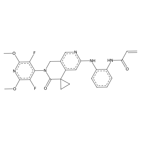 C=CC(=O)Nc1ccccc1Nc1cc2c(cn1)CN(c1c(F)c(OC)nc(OC)c1F)C(=O)C21CC1